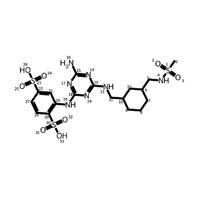 CS(=O)(=O)NCC1CCCC(CNc2nc(N)nc(Nc3cc(S(=O)(=O)O)ccc3S(=O)(=O)O)n2)C1